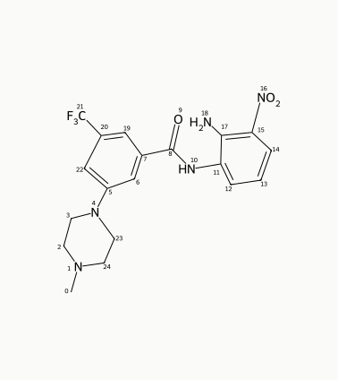 CN1CCN(c2cc(C(=O)Nc3cccc([N+](=O)[O-])c3N)cc(C(F)(F)F)c2)CC1